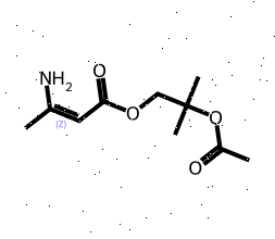 CC(=O)OC(C)(C)COC(=O)/C=C(/C)N